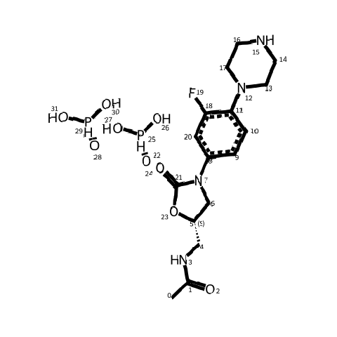 CC(=O)NC[C@H]1CN(c2ccc(N3CCNCC3)c(F)c2)C(=O)O1.O=[PH](O)O.O=[PH](O)O